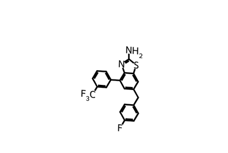 Nc1nc2c(-c3cccc(C(F)(F)F)c3)cc(Cc3ccc(F)cc3)cc2s1